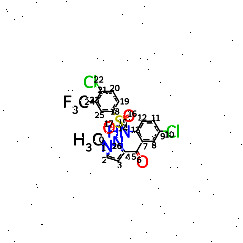 Cn1ccc(C(=O)c2cc(Cl)ccc2NS(=O)(=O)c2ccc(Cl)c(C(F)(F)F)c2)n1